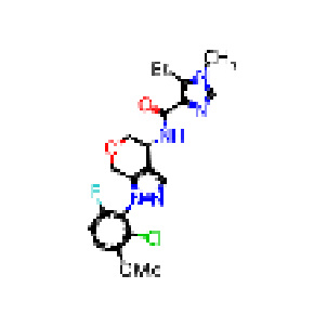 CCc1c(C(=O)N[C@H]2COCc3c2cnn3-c2c(F)ccc(OC)c2Cl)ncn1C